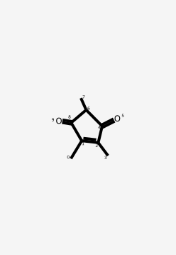 CC1=C(C)C(=O)C(C)C1=O